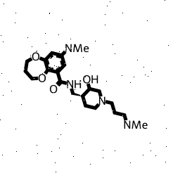 CNCCCN1CC[C@@H](CNC(=O)c2cc(NC)cc3c2OCCCO3)C(O)C1